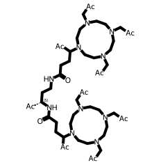 CC(=O)CN1CCN(CC(C)=O)CCN(C(CCC(=O)NCC[C@H](NC(=O)CCC(C(C)=O)N2CCN(CC(C)=O)CCN(CC(C)=O)CCN(CC(C)=O)CC2)C(C)=O)C(C)=O)CCN(CC(C)=O)CC1